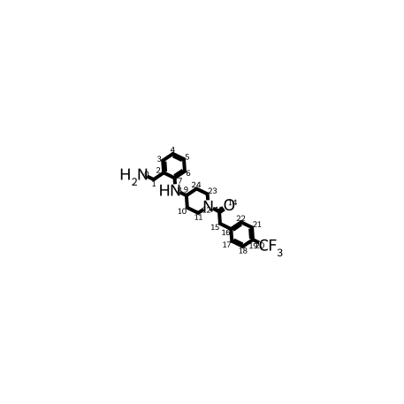 NCc1ccccc1NC1CCN(C(=O)Cc2ccc(C(F)(F)F)cc2)CC1